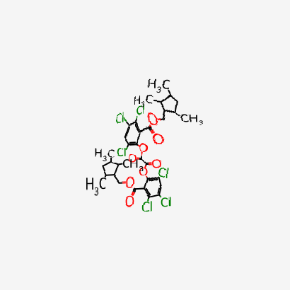 CC1CC(C)C(COC(=O)c2c(Cl)c(Cl)cc(Cl)c2OC(=O)C(=O)Oc2c(Cl)cc(Cl)c(Cl)c2C(=O)OCC2C(C)CC(C)C2C)C1C